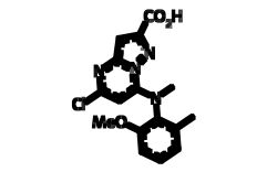 COc1cccc(C)c1N(C)c1cc(Cl)nc2cc(C(=O)O)nn12